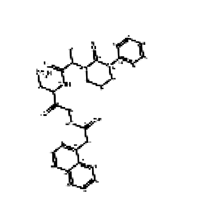 CC(C(=O)NC(CC(=O)O)C(=O)COC(=O)Cc1cccc2ccccc12)N1CCCN(c2ccccc2)C1=O